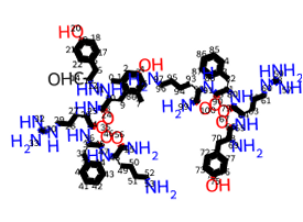 Cc1cc(O)cc(C)c1C[C@H](NN[C@H](C=O)Cc1ccc(O)cc1)C(=O)N[C@H](CCCNC(=N)N)C(=O)N[C@@H](Cc1ccccc1)C(=O)N[C@@H](CCCCN)C(N)=O.N=C(N)NCCC[C@@H](NC(=O)[C@@H](N)Cc1ccc(O)cc1)C(=O)N[C@@H](Cc1ccccc1)C(=O)N[C@@H](CCCCN)C(N)=O